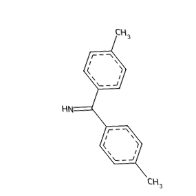 Cc1ccc(C(=N)c2ccc(C)cc2)cc1